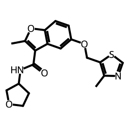 Cc1ncsc1COc1ccc2oc(C)c(C(=O)NC3CCOC3)c2c1